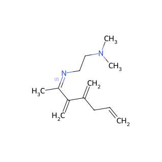 C=CCC(=C)C(=C)/C(C)=N\CCN(C)C